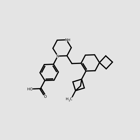 CC12CC(C3=C(CC4CNCCN4c4ccc(C(=O)O)cc4)CCC4(CCC4)C3)(C1)C2